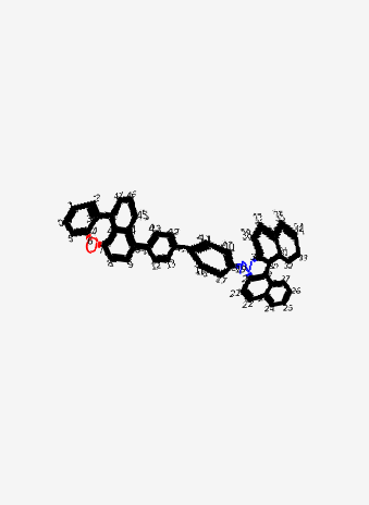 c1ccc2c(c1)Oc1ccc(-c3ccc(-c4ccc(-n5c6ccc7ccccc7c6c6c7ccccc7ccc65)cc4)cc3)c3cccc-2c13